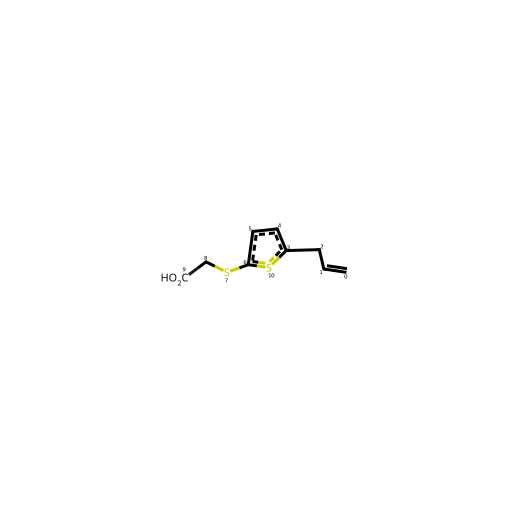 C=CCc1ccc(SCC(=O)O)s1